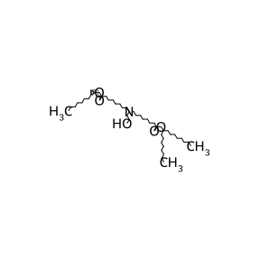 CCCCCCCCC(CCCCCCCC)OC(=O)CCCCCCCN(CCO)CCCCCCCC(=O)O[C@@H]1CC1CCCCCCC